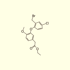 CCOC(=O)Cc1ccc(OC)c(Oc2ccc(Cl)cc2CBr)c1